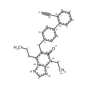 CCCc1c(Cc2ccc(-c3ccccc3C#N)cc2)c(=O)n(CC)c2ncnn12